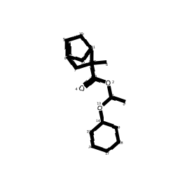 CC(OC(=O)C1(C)CC2=CCC1C2)OC1CCCCC1